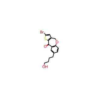 O=C1c2cc(CCCCO)ccc2OCc2cc(Br)sc21